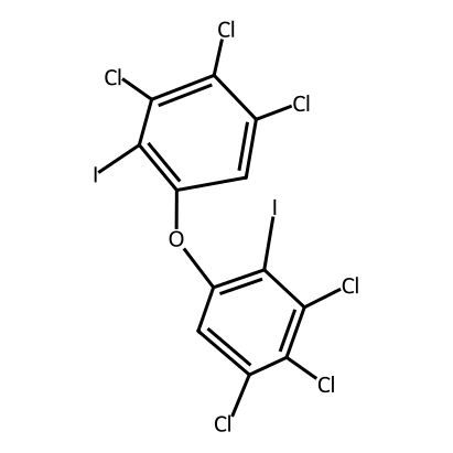 Clc1cc(Oc2cc(Cl)c(Cl)c(Cl)c2I)c(I)c(Cl)c1Cl